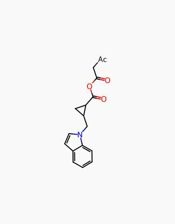 CC(=O)CC(=O)OC(=O)C1CC1Cn1ccc2ccccc21